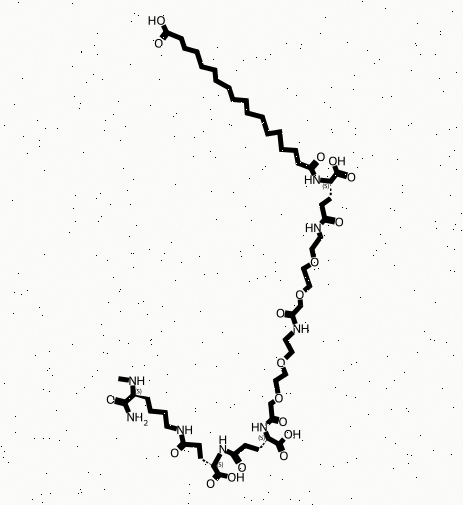 CN[C@@H](CCCCNC(=O)CC[C@H](NC(=O)CC[C@H](NC(=O)COCCOCCNC(=O)COCCOCCNC(=O)CC[C@H](NC(=O)CCCCCCCCCCCCCCCCC(=O)O)C(=O)O)C(=O)O)C(=O)O)C(N)=O